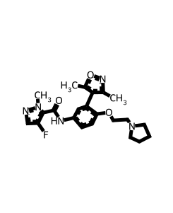 Cc1noc(C)c1-c1cc(NC(=O)c2c(F)cnn2C)ccc1OCCN1CCCC1